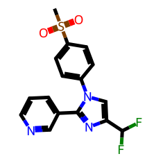 CS(=O)(=O)c1ccc(-n2cc(C(F)F)nc2-c2cccnc2)cc1